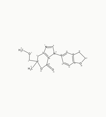 COCC1(C)Cc2ncn(-c3ccc4c(c3)CCO4)c2C(=O)O1